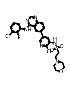 O=S(=O)(CCN1CCOCC1)Nc1cc(-c2ccc3ncnc(Nc4cccc(Cl)c4F)c3c2)cnc1Cl